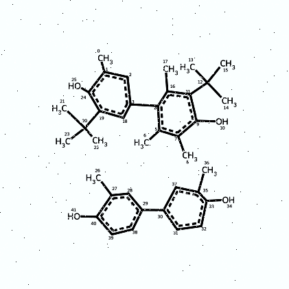 Cc1cc(-c2c(C)c(C)c(O)c(C(C)(C)C)c2C)cc(C(C)(C)C)c1O.Cc1cc(-c2ccc(O)c(C)c2)ccc1O